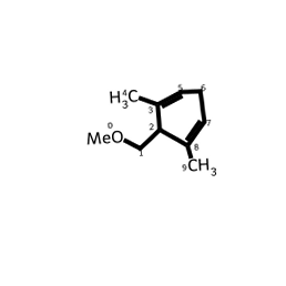 COCC1C(C)=CCC=C1C